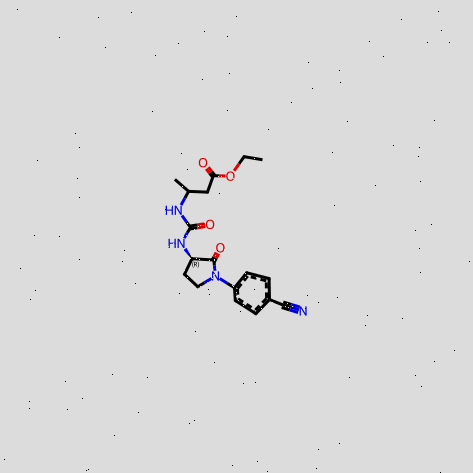 CCOC(=O)CC(C)NC(=O)N[C@@H]1CCN(c2ccc(C#N)cc2)C1=O